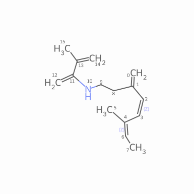 C=C(/C=C\C(C)=C/C)CCNC(=C)C(=C)C